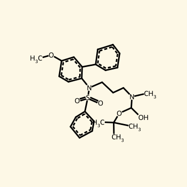 COc1ccc(N(CCCN(C)C(O)OC(C)(C)C)S(=O)(=O)c2ccccc2)c(-c2ccccc2)c1